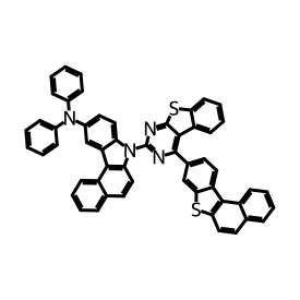 c1ccc(N(c2ccccc2)c2ccc3c(c2)c2c4ccccc4ccc2n3-c2nc(-c3ccc4c(c3)sc3ccc5ccccc5c34)c3c(n2)sc2ccccc23)cc1